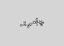 C=Nn1cc(-c2[nH]c3ccc(C4CCN(C(=O)CCNCCOC)CC4)cc3c2C(C)C)c(C)c(C)/c1=N/C